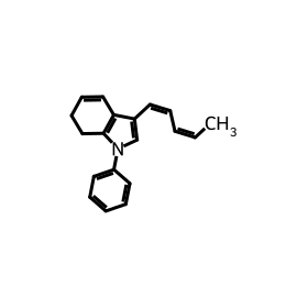 C/C=C\C=C/c1cn(-c2ccccc2)c2c1C=CCC2